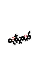 CC=Cc1ccccc1Oc1cc(C)c(C(c2cc(C(C)(C)C)c(Oc3ccccc3C=CC)cc2C)C(C)C)cc1C(C)(C)C